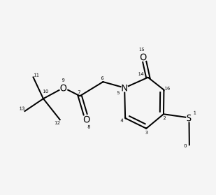 CSc1ccn(CC(=O)OC(C)(C)C)c(=O)c1